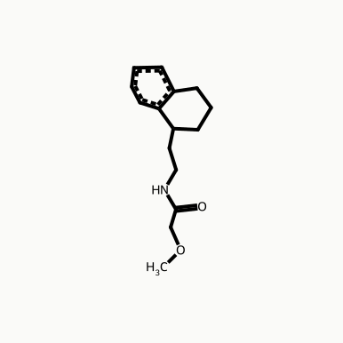 COCC(=O)NCCC1CCCc2ccccc21